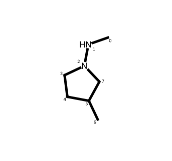 CNN1CCC(C)C1